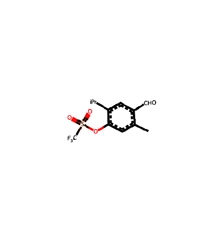 Cc1cc(OS(=O)(=O)C(F)(F)F)c(C(C)C)cc1C=O